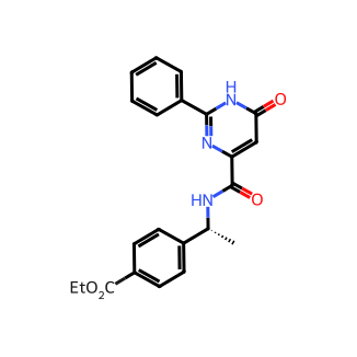 CCOC(=O)c1ccc([C@@H](C)NC(=O)c2cc(=O)[nH]c(-c3ccccc3)n2)cc1